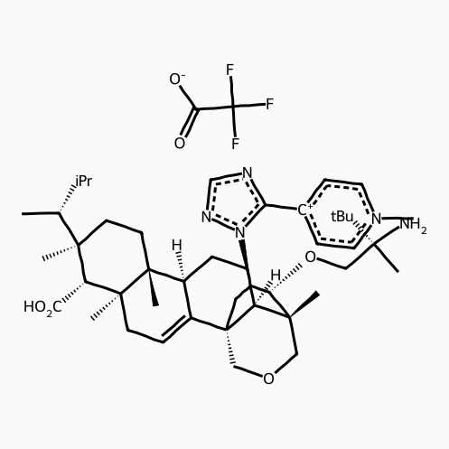 CC(C)[C@@H](C)[C@@]1(C)CC[C@]2(C)[C@H]3CC[C@@H]4[C@@]5(COC[C@@]4(C)[C@@H](OC[C@](C)(N)C(C)(C)C)[C@H](n4ncnc4-[c+]4ccn(C)cc4)C5)C3=CC[C@@]2(C)[C@@H]1C(=O)O.O=C([O-])C(F)(F)F